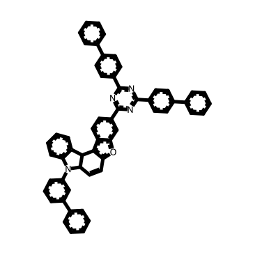 C1=CC2C(c3ccccc3N2c2cccc(-c3ccccc3)c2)c2c1oc1cc(-c3nc(-c4ccc(-c5ccccc5)cc4)nc(-c4ccc(-c5ccccc5)cc4)n3)ccc21